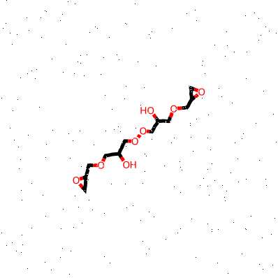 OC(COCC1CO1)COOCC(O)COCC1CO1